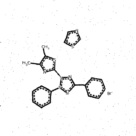 Cc1nc(-n2nc(-c3ccccc3)n[n+]2-c2ccccc2)sc1C.[Br-].[c]1nccs1